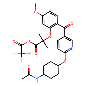 COc1ccc(C(=O)c2ccc(OC3CCC(NC(C)=O)CC3)nc2)c(OC(C)(C)C(=O)OC(=O)C(F)(F)F)c1